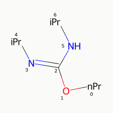 CCCOC(=NC(C)C)NC(C)C